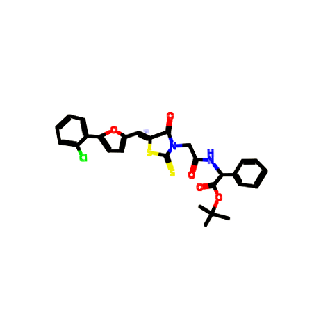 CC(C)(C)OC(=O)C(NC(=O)CN1C(=O)/C(=C/c2ccc(-c3ccccc3Cl)o2)SC1=S)c1ccccc1